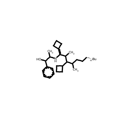 CC[C@@H](C)CCCC(C)C(C1CCC1)C(C)C(NC(C)C(O)c1ccccc1)=C1CCC1